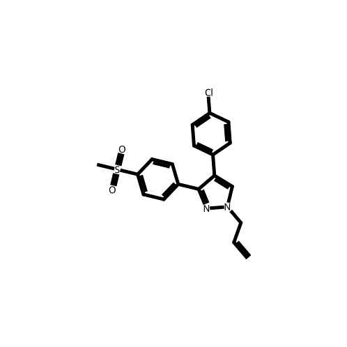 C=CCn1cc(-c2ccc(Cl)cc2)c(-c2ccc(S(C)(=O)=O)cc2)n1